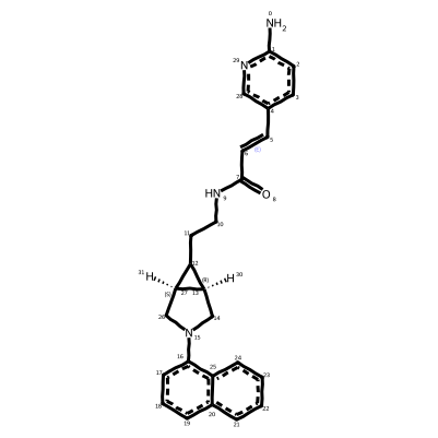 Nc1ccc(/C=C/C(=O)NCCC2[C@H]3CN(c4cccc5ccccc45)C[C@@H]23)cn1